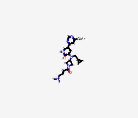 COc1cc(-c2c[nH]c(=O)c(N(CC3CC3)C3CN(C(=O)C=CCN(C)C)C3)c2)ncn1